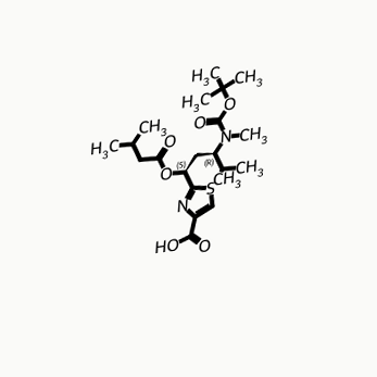 CC(C)CC(=O)O[C@@H](C[C@H](C(C)C)N(C)C(=O)OC(C)(C)C)c1nc(C(=O)O)cs1